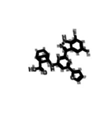 O=C(O)C1C2CCC(CC2)C1Nc1cc(-c2ccco2)nc(-c2n[nH]c3c(F)cc(F)cc23)n1